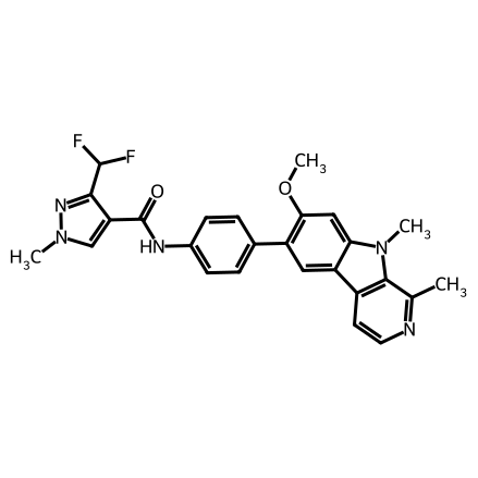 COc1cc2c(cc1-c1ccc(NC(=O)c3cn(C)nc3C(F)F)cc1)c1ccnc(C)c1n2C